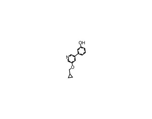 Oc1cccc(-c2cncc(OCC3CC3)c2)c1